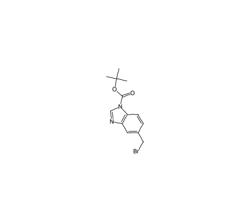 CC(C)(C)OC(=O)n1cnc2cc(CBr)ccc21